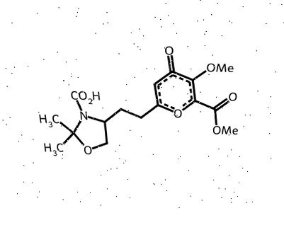 COC(=O)c1oc(CCC2COC(C)(C)N2C(=O)O)cc(=O)c1OC